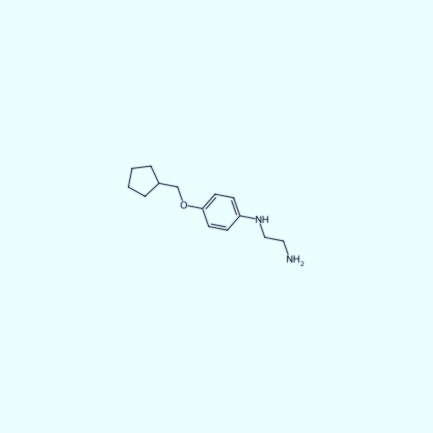 NCCNc1ccc(OCC2CCCC2)cc1